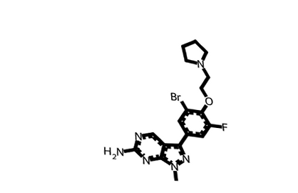 Cn1nc(-c2cc(F)c(OCCN3CCCC3)c(Br)c2)c2cnc(N)nc21